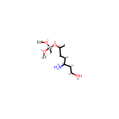 CCO[Si](C)(OCC)OC(C)CCC(N)CCO